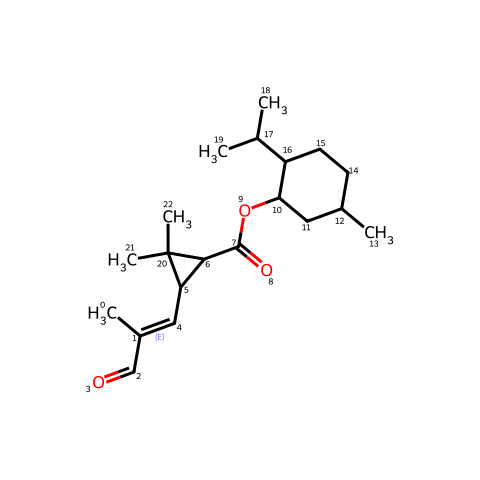 C/C(C=O)=C\C1C(C(=O)OC2CC(C)CCC2C(C)C)C1(C)C